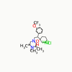 C[C@@H]1CN(CC(c2cccc(OC(F)(F)F)c2)C2(O)CCCCC2)C[C@H](C)N1C.Cl.Cl